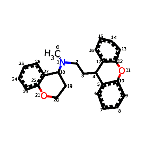 CN(CCC1c2ccccc2Oc2ccccc21)C1CCOc2ccccc21